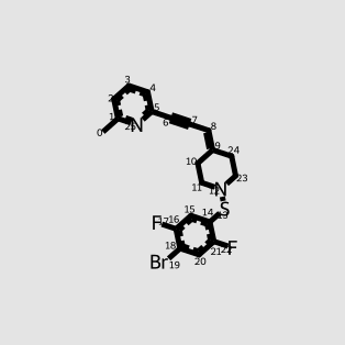 Cc1cccc(C#CC=C2CCN(Sc3cc(F)c(Br)cc3F)CC2)n1